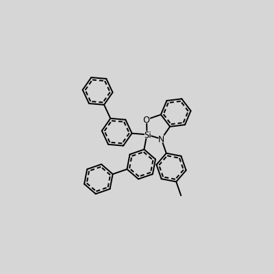 Cc1ccc(N2c3ccccc3O[Si]2(c2cccc(-c3ccccc3)c2)c2cccc(-c3ccccc3)c2)cc1